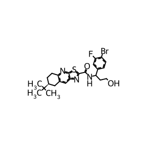 CC(C)(C)[C@H]1CCc2nc3sc(C(=O)NC(CCO)c4ccc(Br)c(F)c4)nc3cc2C1